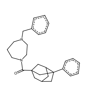 O=C(N1CCCN(Cc2ccccc2)CC1)C12CC3CC(C1)C(c1ccccc1)(C3)C2